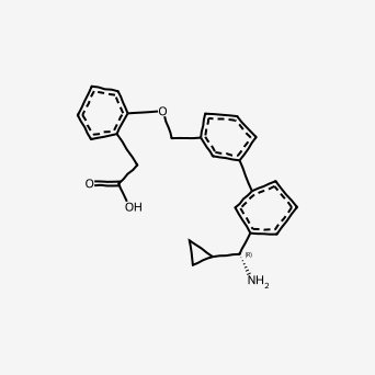 N[C@@H](c1cccc(-c2cccc(COc3ccccc3CC(=O)O)c2)c1)C1CC1